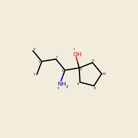 CC(C)CC(N)C1(O)CCCC1